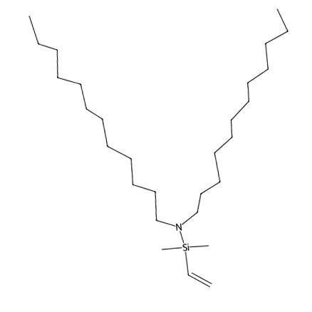 C=C[Si](C)(C)N(CCCCCCCCCCCC)CCCCCCCCCCCC